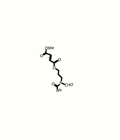 CCCC(=O)N(C=O)CCCOC(=O)/C=C/C(=O)OC